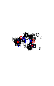 COc1c(CN2CCC[C@H]2C(=O)N[C@H]2C[C@H]3C[C@@H]([C@@H]2C)C3(C)C)cccc1-c1cc(C(=O)N[C@@H](Cc2ccccc2)CN(C)C)cc([N+](=O)[O-])c1